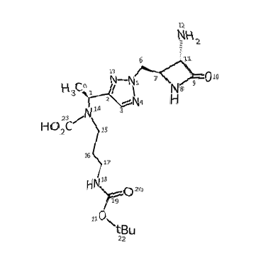 C[C@@H](c1cnn(C[C@@H]2NC(=O)[C@H]2N)n1)N(CCCNC(=O)OC(C)(C)C)C(=O)O